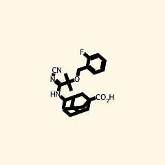 CC(C)(OCc1ccccc1F)/C(=N\C#N)NC1C2CC3CC1CC(C(=O)O)(C3)C2